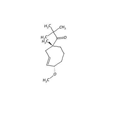 CO[C@@H]1/C=C/C[C@](C)(C(=O)C(C)(C)C)CCC1